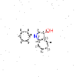 Oc1cn(-c2ccccc2)c2ccccc12